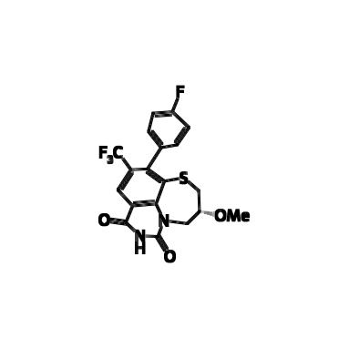 CO[C@H]1CSc2c(-c3ccc(F)cc3)c(C(F)(F)F)cc3c(=O)[nH]c(=O)n(c23)C1